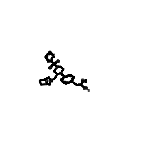 CC(O)Cc1ccc(N2CCN(S(=O)(=O)c3cccs3)C[C@@H]2CN2CC3CCC(C2)O3)cc1